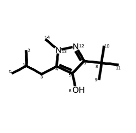 CC(C)Cc1c(O)c(C(C)(C)C)nn1C